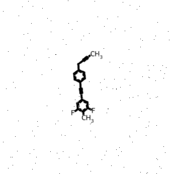 CC#CCc1ccc(C#Cc2cc(F)c(C)c(F)c2)cc1